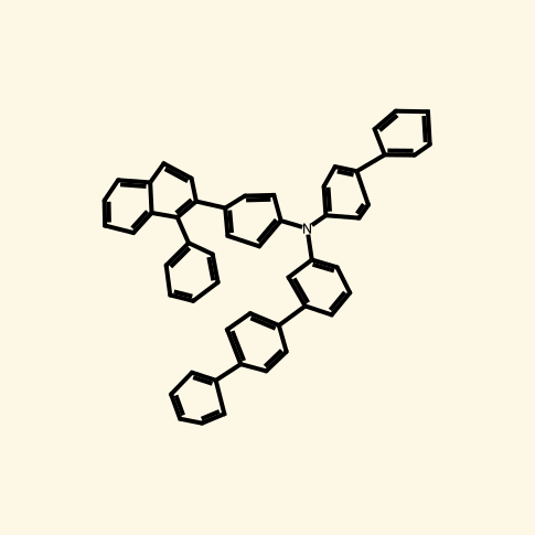 c1ccc(-c2ccc(-c3cccc(N(c4ccc(-c5ccccc5)cc4)c4ccc(-c5ccc6ccccc6c5-c5ccccc5)cc4)c3)cc2)cc1